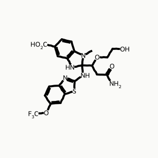 CN1c2ccc(C(=O)O)cc2NC1(Nc1nc2ccc(OC(F)(F)F)cc2s1)C(CC(N)=O)OCCO